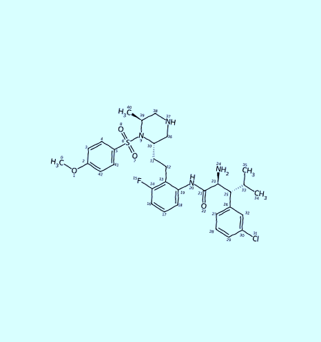 COc1ccc(S(=O)(=O)N2[C@@H](CCc3c(F)cccc3NC(=O)[C@@H](N)[C@@H](c3cccc(Cl)c3)C(C)C)CNC[C@@H]2C)cc1